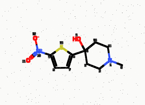 CN1CCC(O)(c2ccc([N+](=O)[O-])s2)CC1